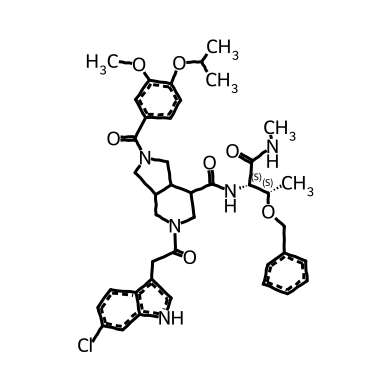 CNC(=O)[C@@H](NC(=O)C1CN(C(=O)Cc2c[nH]c3cc(Cl)ccc23)CC2CN(C(=O)c3ccc(OC(C)C)c(OC)c3)CC21)[C@H](C)OCc1ccccc1